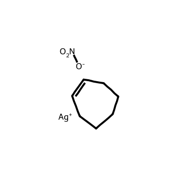 C1=CCCCCC1.O=[N+]([O-])[O-].[Ag+]